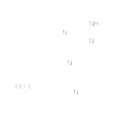 O=C(O)C1=CN(c2nc[nH]n2)C=NC1